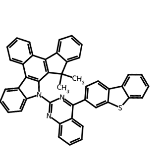 CC1(C)c2ccccc2-c2c1c1c(c3ccccc23)c2ccccc2n1-c1nc(-c2ccc3c(c2)sc2ccccc23)c2ccccc2n1